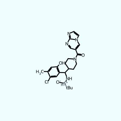 Cc1cc(O)c(C(N[S@@+]([O-])C(C)(C)C)C2CCN(C(=O)c3cnc4nccn4c3)CC2)cc1Cl